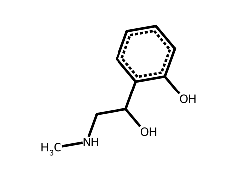 CNCC(O)c1ccccc1O